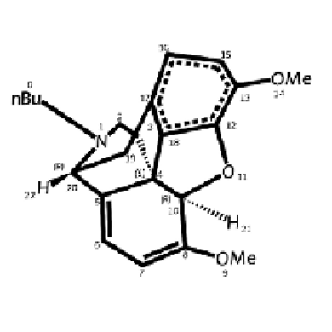 CCCCN1CC[C@@]23C4=CC=C(OC)[C@@H]2Oc2c(OC)ccc(c23)C[C@H]41